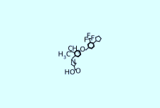 CC(C)c1cc(OCc2ccc(C3CCCC3)c(C(F)(F)F)c2)ccc1CN1CC(C(=O)O)C1